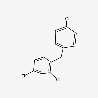 Clc1ccc([CH]c2ccc(Cl)cc2Cl)cc1